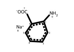 Nc1ccccc1C(=O)[O-].[Na+]